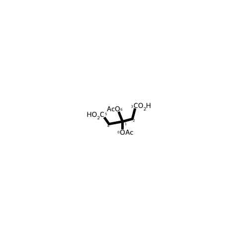 CC(=O)OC(CC(=O)O)(CC(=O)O)OC(C)=O